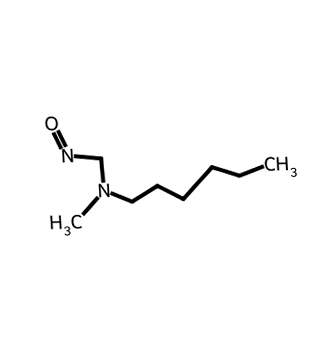 CCCCCCN(C)CN=O